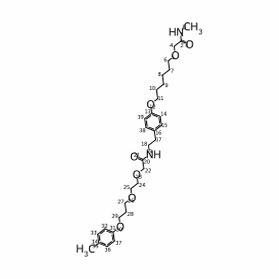 CNC(=O)COCCCCCCOc1ccc(CCNC(=O)COCCOCCCOc2ccc(C)cc2)cc1